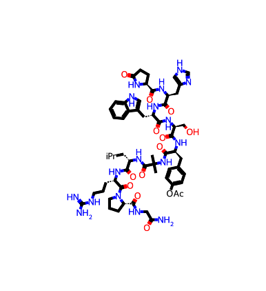 CC(=O)Oc1ccc(C[C@H](NC(=O)[C@H](CO)NC(=O)[C@H](Cc2c[nH]c3ccccc23)NC(=O)[C@H](Cc2c[nH]cn2)NC(=O)[C@@H]2CCC(=O)N2)C(=O)NC(C)(C)C(=O)N[C@@H](CC(C)C)C(=O)N[C@@H](CCCNC(=N)N)C(=O)N2CCC[C@H]2C(=O)NCC(N)=O)cc1